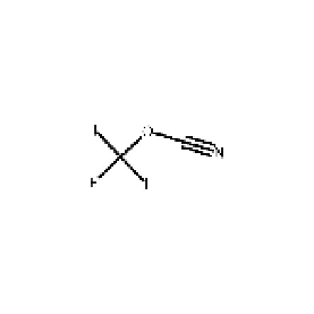 N#COC(F)(I)I